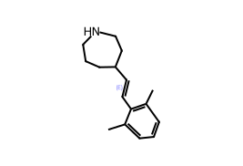 Cc1cccc(C)c1/C=C/C1CCCNCC1